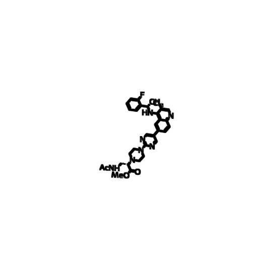 COC(=O)[C@H](CNC(C)=O)N1CCN(c2ncc(-c3ccc4ncc(Cl)c(N[C@H](C)c5ccccc5F)c4c3)cn2)CC1